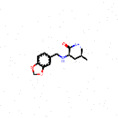 CC(C)CC(NCc1ccc2c(c1)OCO2)C(N)=O